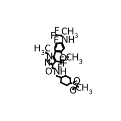 CCn1nc(C(=O)NCC2CCC(S(C)(=O)=O)CC2)c(C(F)(F)F)c1-c1ccc(NC(C)C(F)(F)F)cc1OC